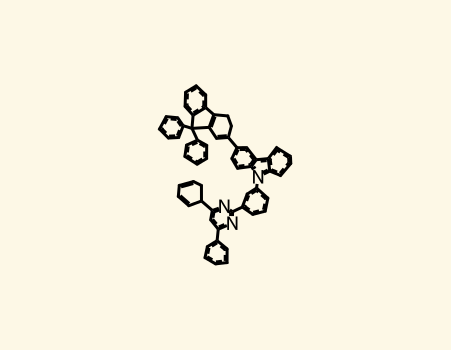 C1=CCC(c2cc(-c3ccccc3)nc(-c3cccc(-n4c5ccccc5c5cc(C6=CC7=C(CC6)c6ccccc6C7(c6ccccc6)c6ccccc6)ccc54)c3)n2)C=C1